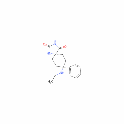 CCNC1(c2ccccc2)CCC2(CC1)NC(=O)NC2=O